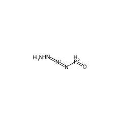 N.N=[N+]=N[PH2]=O